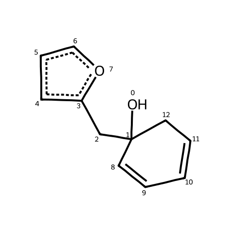 OC1(Cc2ccco2)C=CC=CC1